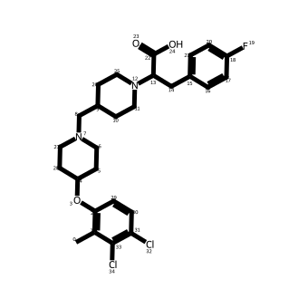 Cc1c(OC2CCN(CC3CCN(C(Cc4ccc(F)cc4)C(=O)O)CC3)CC2)ccc(Cl)c1Cl